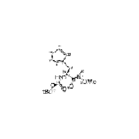 CON(C)C(=O)[C@H](Cc1ccccc1)NC(=O)OC(C)(C)C